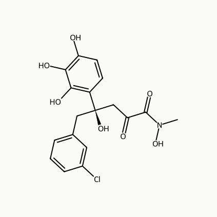 CN(O)C(=O)C(=O)C[C@](O)(Cc1cccc(Cl)c1)c1ccc(O)c(O)c1O